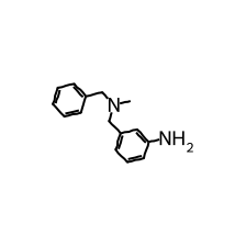 CN(Cc1ccccc1)Cc1cccc(N)c1